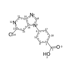 O=C(O)c1ccc(-n2cnc3cnc(Cl)cc32)cc1